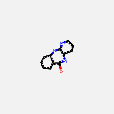 O=c1nc2cccnc2nc2ccccc12